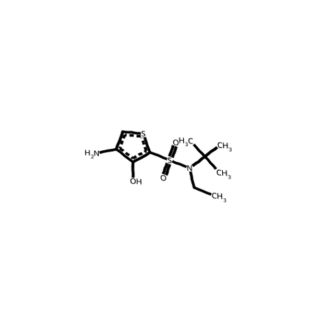 CCN(C(C)(C)C)S(=O)(=O)c1scc(N)c1O